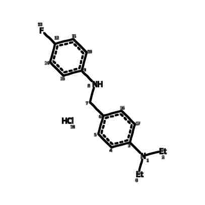 CCN(CC)c1ccc(CNc2ccc(F)cc2)cc1.Cl